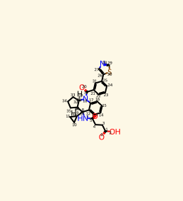 O=C(O)CCC(=O)N[C@]1(C2CC2)c2ccccc2N(C(=O)c2cccc(-c3cncs3)c2)[C@@H]2CCC[C@@H]21